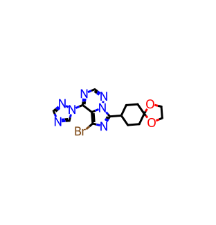 Brc1nc(C2CCC3(CC2)OCCO3)n2ncnc(-n3cncn3)c12